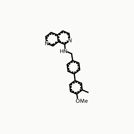 COc1ccc(-c2ccc(CNc3nccc4ccncc34)cc2)cc1C